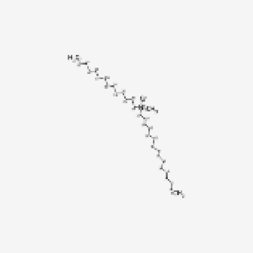 CCCCCCCCCCCCCCCC[N+](C)([O-])CCCCCCCCCCCCCC